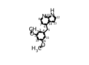 COc1cc(Cc2ccnc3[nH]ccc23)cc(OC)c1